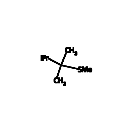 [CH2]SC(C)(C)C(C)C